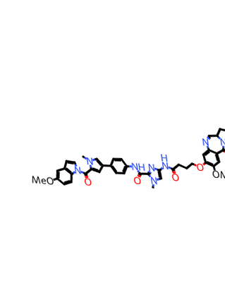 C=C1CC2C=Nc3cc(OCCCC(=O)Nc4cn(C)c(C(=O)Nc5ccc(-c6cc(C(=O)n7ccc8cc(OC)ccc87)n(C)c6)cc5)n4)c(OC)cc3C(=O)N2C1